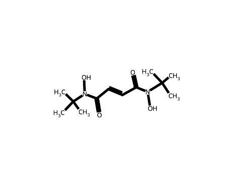 CC(C)(C)N(O)C(=O)C=CC(=O)N(O)C(C)(C)C